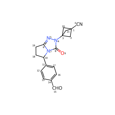 N#CC12CC(n3nc4n(c3=O)C(c3ccc(C=O)cc3)CC4)(C1)C2